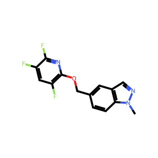 Cn1ncc2cc(COc3nc(F)c(F)cc3F)ccc21